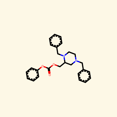 O=C(OCC1CN(Cc2ccccc2)CCN1Cc1ccccc1)Oc1ccccc1